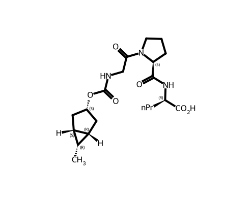 CCC[C@@H](NC(=O)[C@@H]1CCCN1C(=O)CNC(=O)O[C@@H]1C[C@@H]2[C@H](C)[C@@H]2C1)C(=O)O